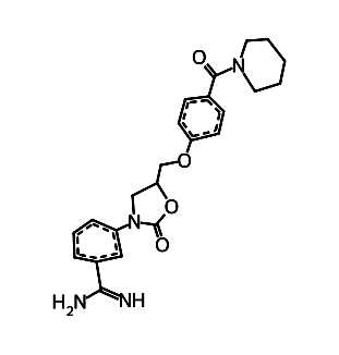 N=C(N)c1cccc(N2CC(COc3ccc(C(=O)N4CCCCC4)cc3)OC2=O)c1